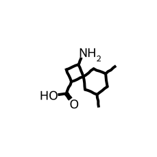 CC1CC(C)CC2(C1)C(N)CC2C(=O)O